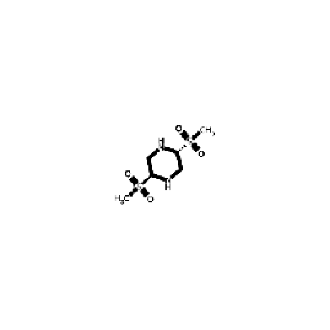 CS(=O)(=O)[C@@H]1CN[C@@H](S(C)(=O)=O)CN1